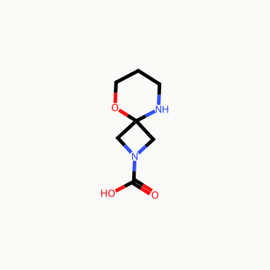 O=C(O)N1CC2(C1)NCCCO2